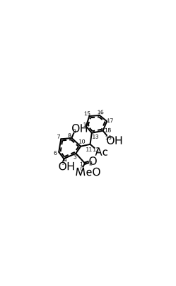 COC(=O)c1c(O)ccc(O)c1C(C(C)=O)c1ccccc1O